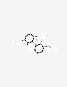 COc1c(CN)cccc1-c1c(C(=O)O)ccc(C)c1C(=O)O